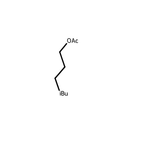 CCC(C)CCCOC(C)=O